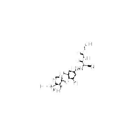 CCOC(=O)NC(=O)C(C#N)=NNc1cc(Cl)c(Oc2ncnc(N(C)C)c2F)c(Cl)c1